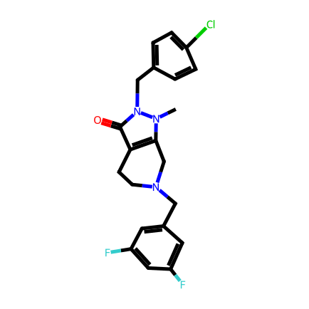 Cn1c2c(c(=O)n1Cc1ccc(Cl)cc1)CCN(Cc1cc(F)cc(F)c1)C2